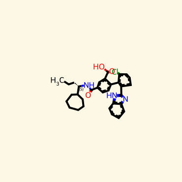 CCC[C@H](NC(=O)c1ccc(-c2c(Cl)cccc2-c2nc3ccccc3[nH]2)c(C(=O)O)c1)C1CCCCCC1